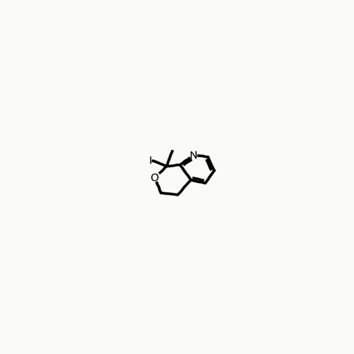 CC1(I)OCCc2cccnc21